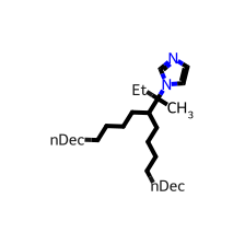 CCCCCCCCCCCCCCC(CCCCCCCCCCCCCC)C(C)(CC)n1ccnc1